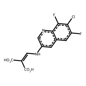 O=C(O)C(=CNc1cnc2c(F)c(Cl)c(F)cc2c1)C(=O)O